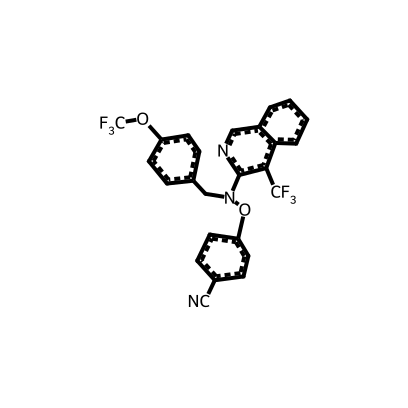 N#Cc1ccc(ON(Cc2ccc(OC(F)(F)F)cc2)c2ncc3ccccc3c2C(F)(F)F)cc1